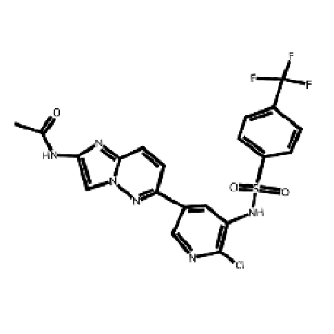 CC(=O)Nc1cn2nc(-c3cnc(Cl)c(NS(=O)(=O)c4ccc(C(F)(F)F)cc4)c3)ccc2n1